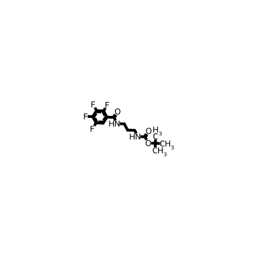 CC(C)(C)OC(=O)NCCCNC(=O)c1cc(F)c(F)c(F)c1F